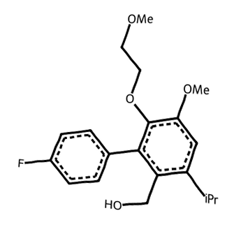 COCCOc1c(OC)cc(C(C)C)c(CO)c1-c1ccc(F)cc1